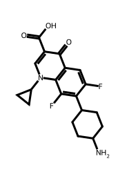 NC1CCC(c2c(F)cc3c(=O)c(C(=O)O)cn(C4CC4)c3c2F)CC1